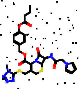 CCCC(=O)Oc1ccc(COC(=O)C2=C(CSc3nnnn3C)CSC3C(NC(=O)Cn4cccc4)C(=O)N23)cc1